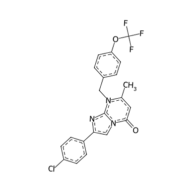 Cc1cc(=O)n2cc(-c3ccc(Cl)cc3)nc2n1Cc1ccc(OC(F)(F)F)cc1